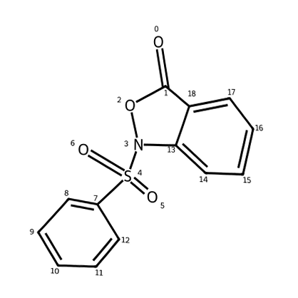 O=c1on(S(=O)(=O)c2ccccc2)c2ccccc12